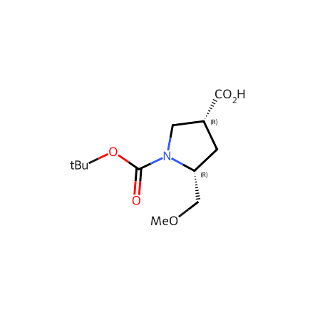 COC[C@H]1C[C@@H](C(=O)O)CN1C(=O)OC(C)(C)C